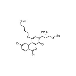 CCCCCCCCCCCCCCOc1cn(C(CCOC(C)(C)C)C(=O)O)c(=O)cc1-c1cc(Cl)ccc1C(=O)CC